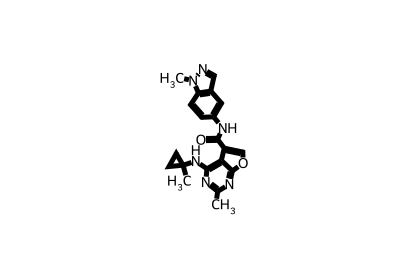 Cc1nc(NC2(C)CC2)c2c(C(=O)Nc3ccc4c(cnn4C)c3)coc2n1